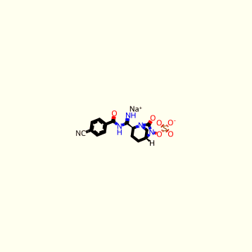 N#Cc1ccc(C(=O)NC(=N)[C@@H]2CC[C@@H]3CN2C(=O)N3OS(=O)(=O)[O-])cc1.[Na+]